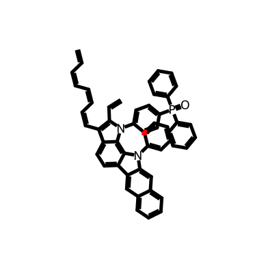 C=C\C=C/C=C\C=C/c1c(C=C)n(-c2ccc(P(=O)(c3ccccc3)c3ccccc3)cc2)c2c1ccc1c3cc4ccccc4cc3n(-c3ccccc3)c12